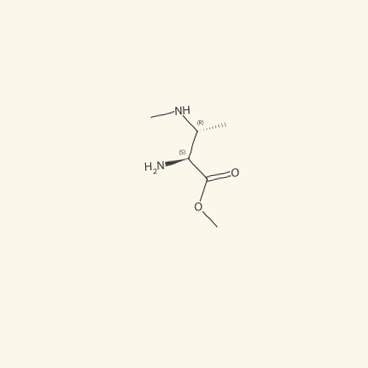 CN[C@H](C)[C@H](N)C(=O)OC